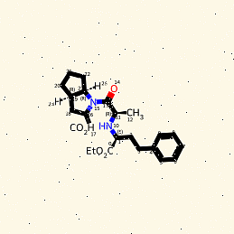 CCOC(=O)[C@H](CCc1ccccc1)N[C@H](C)C(=O)N1C(C(=O)O)C[C@H]2CCC[C@H]21